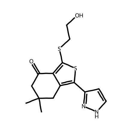 CC1(C)CC(=O)c2c(SCCO)sc(-c3cc[nH]n3)c2C1